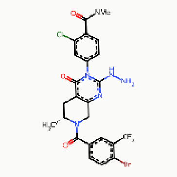 CNC(=O)c1ccc(-n2c(NN)nc3c(c2=O)C[C@@H](C)N(C(=O)c2ccc(Br)c(C(F)(F)F)c2)C3)cc1Cl